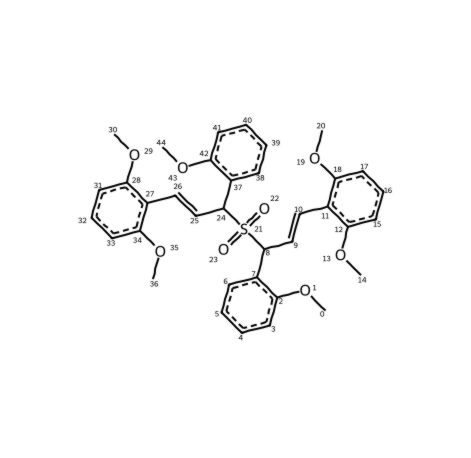 COc1ccccc1C(C=Cc1c(OC)cccc1OC)S(=O)(=O)C(C=Cc1c(OC)cccc1OC)c1ccccc1OC